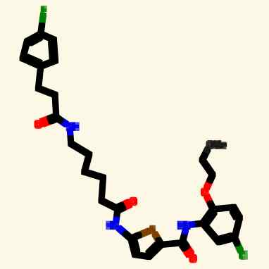 COCCOc1ccc(Cl)cc1NC(=O)c1ccc(NC(=O)CCCCCNC(=O)CCc2ccc(F)cc2)s1